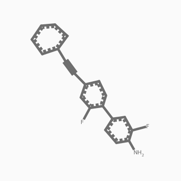 Nc1ccc(-c2ccc(C#Cc3ccccc3)cc2F)cc1F